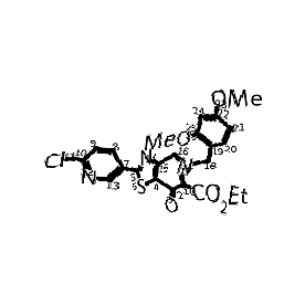 CCOC(=O)C1C(=O)c2sc(-c3ccc(Cl)nc3)nc2CN1Cc1ccc(OC)cc1OC